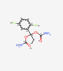 CCC(OC(N)=O)(OC(N)=O)c1cc(F)ccc1F